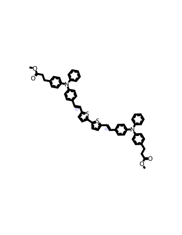 COC(=O)CCc1ccc(N(c2ccccc2)c2ccc(/C=C/c3ccc(-c4ccc(/C=C/c5ccc(N(c6ccccc6)c6ccc(CCC(=O)OC)cc6)cc5)s4)s3)cc2)cc1